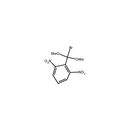 COC(Br)(OC)c1c([N+](=O)[O-])cccc1[N+](=O)[O-]